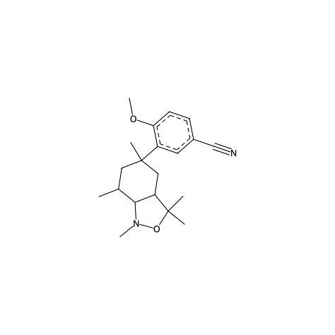 COc1ccc(C#N)cc1C1(C)CC(C)C2C(C1)C(C)(C)ON2C